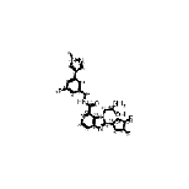 Cn1cc(-c2cc(F)cc(CNC(=O)c3nccc4nc(C5CC(F)C(F)C5)n(CC(N)O)c34)c2)cn1